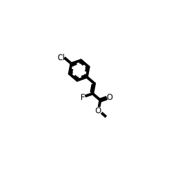 COC(=O)C(F)=Cc1ccc(Cl)cc1